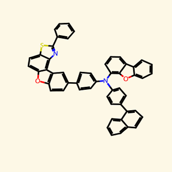 c1ccc(-c2nc3c(ccc4oc5ccc(-c6ccc(N(c7ccc(-c8cccc9ccccc89)cc7)c7cccc8c7oc7ccccc78)cc6)cc5c43)s2)cc1